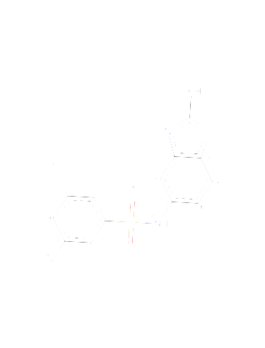 Cc1nc2cc(NS(=O)(=O)c3cc(Cl)cc(Cl)c3)ccc2s1